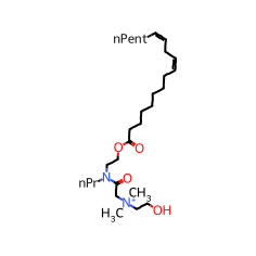 CCCCC/C=C\C/C=C\CCCCCCCC(=O)OCCN(CCC)C(=O)C[N+](C)(C)CCO